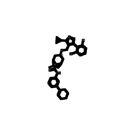 C[C@@H]1CC2C[C@H](OCc3c(-c4c(Cl)cccc4Cl)noc3C3CC3)CC1N2C(=O)Nc1cccc(C2=CCCCC2)c1